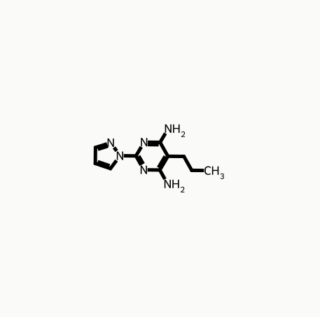 CCCc1c(N)nc(-n2cccn2)nc1N